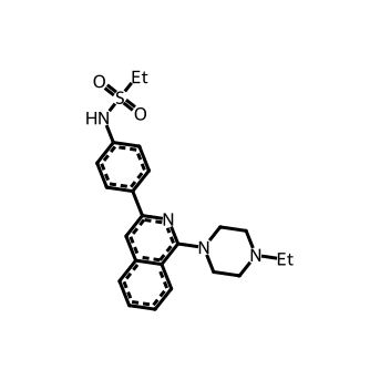 CCN1CCN(c2nc(-c3ccc(NS(=O)(=O)CC)cc3)cc3ccccc23)CC1